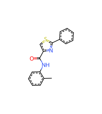 Cc1ccccc1NC(=O)c1csc(-c2ccccc2)n1